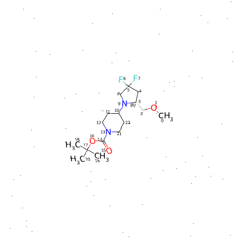 COC[C@H]1CC(F)(F)CN1C1CCN(C(=O)OC(C)(C)C)CC1